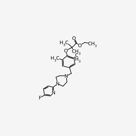 CCOC(=O)C(C)(C)Oc1c(C)cc(CN2CCN(c3ccc(F)cn3)CC2)cc1C